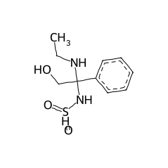 CCNC(CO)(N[SH](=O)=O)c1ccccc1